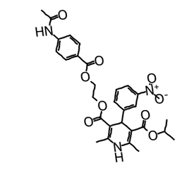 CC(=O)Nc1ccc(C(=O)OCCOC(=O)C2=C(C)NC(C)=C(C(=O)OC(C)C)C2c2cccc([N+](=O)[O-])c2)cc1